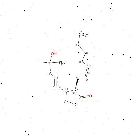 CCCCC(C)(O)C/C=C/[C@H]1CCC(=O)[C@@H]1C/C=C\CCCC(=O)O